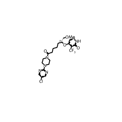 COC[C@@H](CCCCC(=O)N1CCN(c2ncc(Cl)cn2)CC1)Oc1cn[nH]c(=O)c1C(F)(F)F